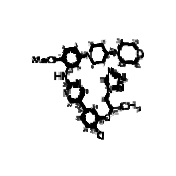 COc1ccc(N2CCC(N3CCOCC3)CC2)cc1Nc1ncc(-c2ccc(Cl)c(O[C@@H](C)Cn3cnnn3)c2)cn1